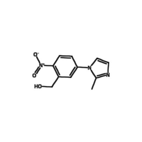 Cc1nccn1-c1ccc([N+](=O)[O-])c(CO)c1